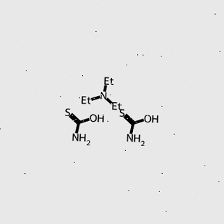 CCN(CC)CC.NC(O)=S.NC(O)=S